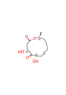 C[C@H]1CCCCC[C@H](O)C(=O)[C@H](O)CC(=O)O1